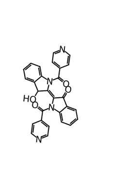 O=C1/C(=C2/C(O)c3ccccc3N2C(=O)c2ccncc2)N(C(=O)c2ccncc2)c2ccccc21